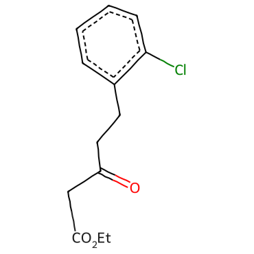 CCOC(=O)CC(=O)CCc1ccccc1Cl